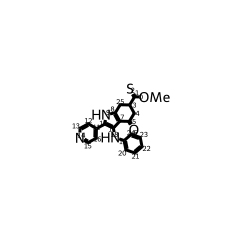 COC(=S)C1CC(=O)c2c([nH]c(-c3ccncc3)c2Nc2ccccc2)C1